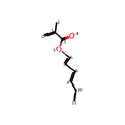 C=C(C)C(=O)O/C=C/C=C/CC